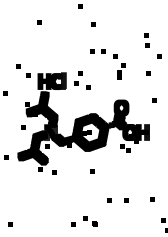 CC(C)CN(CC(C)C)C[C@H]1CC[C@H](C(=O)O)CC1.Cl